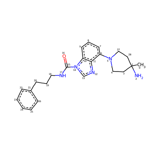 CC1(N)CCN(c2cccc3c2ncn3C(=O)NCCCc2ccccc2)CC1